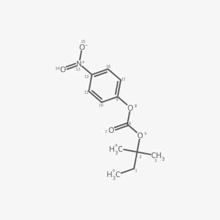 CCC(C)(C)OC(=O)Oc1ccc([N+](=O)[O-])cc1